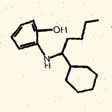 CCCCC(Nc1ccccc1O)C1CCCCC1